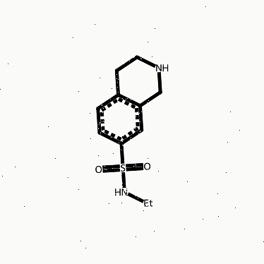 CCNS(=O)(=O)c1ccc2c(c1)CNCC2